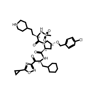 CS(=O)(=O)N[C@H](CCC1CCNCC1)C(=O)N1C[C@H](OCc2ccc(Cl)cc2)C[C@H]1C(=O)N[C@@H](CC1CCCCC1)C(=O)c1noc(C2CC2)n1